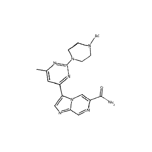 CC(=O)N1CCN(c2nc(C)cc(-c3cnc4cnc(C(N)=O)cn34)n2)CC1